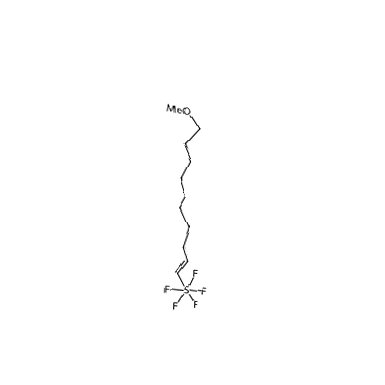 COCCCCCCCC/C=C/S(F)(F)(F)(F)F